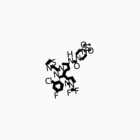 CS(=O)(=O)N1CCN(C(=O)N[C@H]2CC3=C(c4ccn(C(F)F)n4)[C@H](c4ccc(F)cc4Cl)N=C(c4nccs4)N3C2)CC1